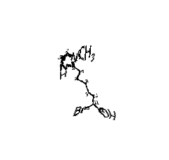 C[n+]1cc[nH]c1CCCCCC(O)Br